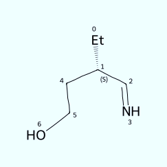 CC[C@H](C=N)CCO